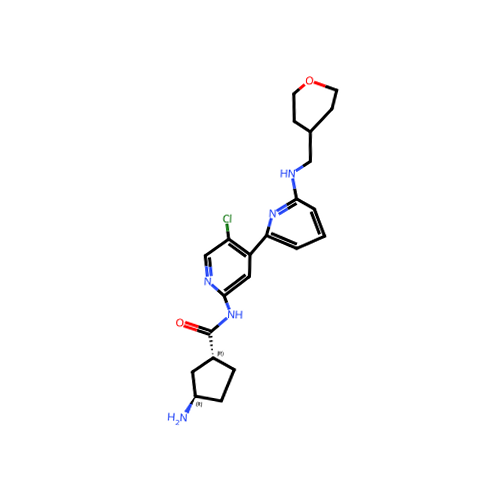 N[C@@H]1CC[C@@H](C(=O)Nc2cc(-c3cccc(NCC4CCOCC4)n3)c(Cl)cn2)C1